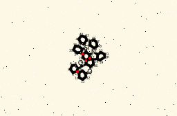 O=P1(c2ccccc2)c2ccccc2Oc2cc(-c3ccccc3N3c4ccccc4[Si](c4ccccc4)(c4ccccc4)c4ccccc43)ccc21